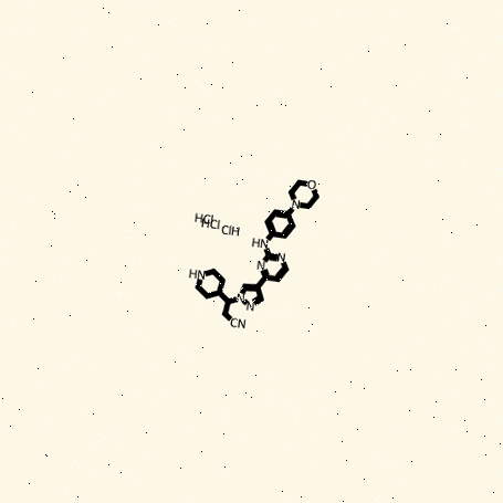 Cl.Cl.Cl.N#CCC(C1CCNCC1)n1cc(-c2ccnc(Nc3ccc(N4CCOCC4)cc3)n2)cn1